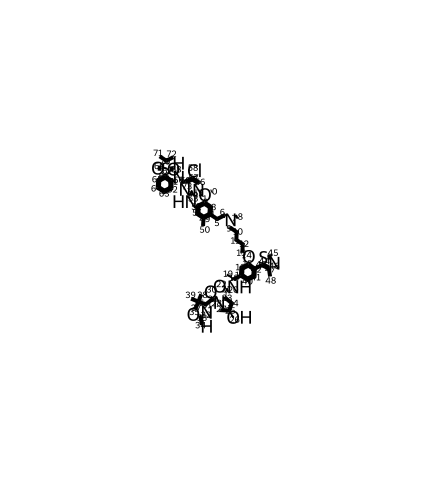 COc1cc(CCN(C)CCCCCOc2cc([C@H](C)NC(=O)[C@@H]3C[C@@H](O)CN3C(=O)[C@@H](NC(C)=O)C(C)(C)C)ccc2-c2scnc2C)c(C)cc1Nc1ncc(Cl)c(Nc2ccccc2S(=O)(=O)C(C)C)n1